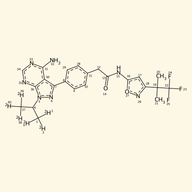 [2H]C([2H])([2H])C(n1nc(-c2ccc(CC(=O)Nc3cc(C(C)(C)C(F)(F)F)no3)cc2)c2c(N)ncnc21)C([2H])([2H])[2H]